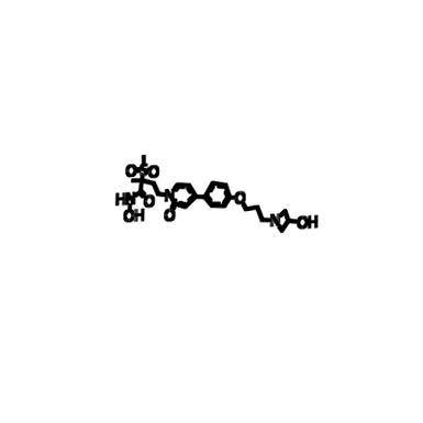 CC(CCn1ccc(-c2ccc(OCCCN3CC(O)C3)cc2)cc1=O)(C(=O)NO)S(C)(=O)=O